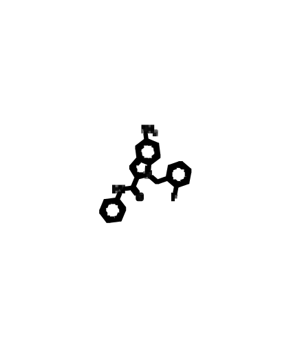 Nc1ccc2c(c1)cc(C(=O)Nc1ccccc1)n2Cc1ccccc1F